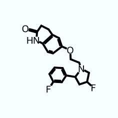 O=C1CCc2cc(OCCN3CC(F)CC3c3cccc(F)c3)ccc2N1